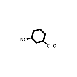 N#C[C@H]1CCC[C@@H](C=O)C1